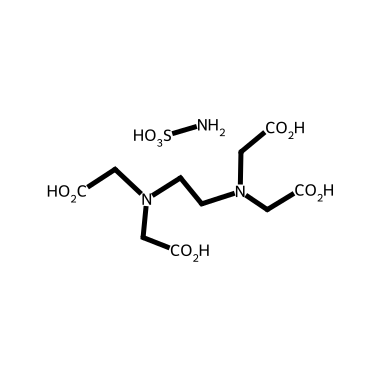 NS(=O)(=O)O.O=C(O)CN(CCN(CC(=O)O)CC(=O)O)CC(=O)O